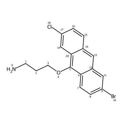 NCCCOc1c2ccc(Br)cc2cc2ccc(Cl)cc12